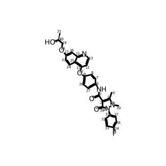 Cc1c(C(=O)Nc2ccc(Oc3ccnc4cc(OC[C@H](C)O)ccc34)cc2)c(=O)n(-c2ccc(F)cc2)n1C